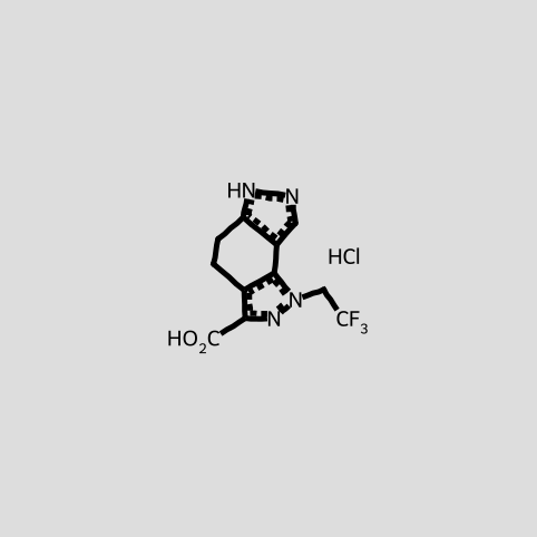 Cl.O=C(O)c1nn(CC(F)(F)F)c2c1CCc1[nH]ncc1-2